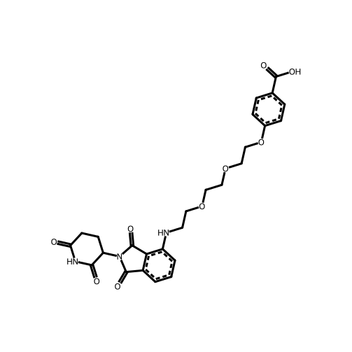 O=C1CCC(N2C(=O)c3cccc(NCCOCCOCCOc4ccc(C(=O)O)cc4)c3C2=O)C(=O)N1